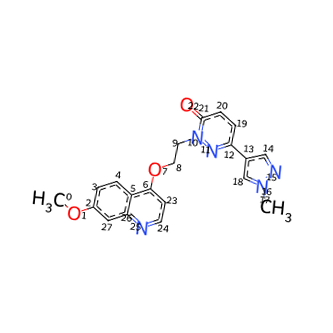 COc1ccc2c(OCCn3nc(-c4cnn(C)c4)ccc3=O)ccnc2c1